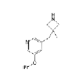 CC(C)Oc1cncc(C2CC23CNC3)c1